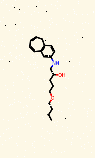 CCCCOCCCC(O)CNc1ccc2c(c1)C=CC=CC2